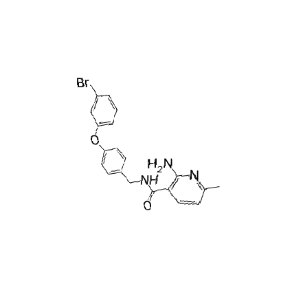 Cc1ccc(C(=O)NCc2ccc(Oc3cccc(Br)c3)cc2)c(N)n1